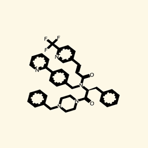 O=C([C@H](Cc1ccccc1)N(Cc1ccc(-c2ccccn2)cc1)C(=O)/C=C/c1ccc(C(F)(F)F)nc1)N1CCN(Cc2ccccc2)CC1